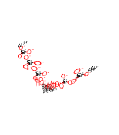 O=[Si]([O-])[O-].O=[Si]([O-])[O-].O=[Si]([O-])[O-].O=[Si]([O-])[O-].O=[Si]([O-])[O-].[Al+3].[Al+3].[Al+3].[Be+2].[Be+2].[Be+2].[OH-].[OH-].[OH-].[OH-].[OH-]